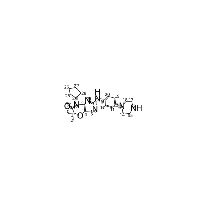 CC1(C)Oc2cnc(Nc3ccc(N4CCNCC4)cc3)nc2N(C2CCCC2)C1=O